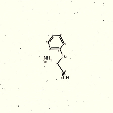 C#CCOc1ccccc1.N